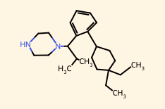 CCC1(CC)CCC(c2ccccc2C(C(C)C)N2CCNCC2)CC1